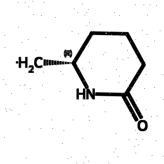 [CH2][C@@H]1CCCC(=O)N1